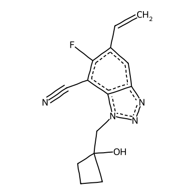 C=Cc1cc2nnn(CC3(O)CCC3)c2c(C#N)c1F